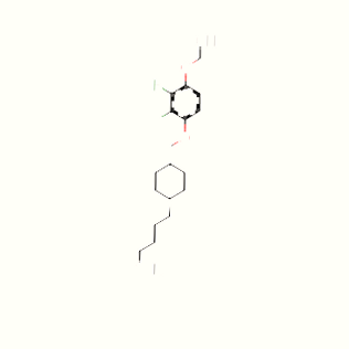 CCCCC[C@H]1CC[C@H](COc2ccc(OCC)c(F)c2F)CC1